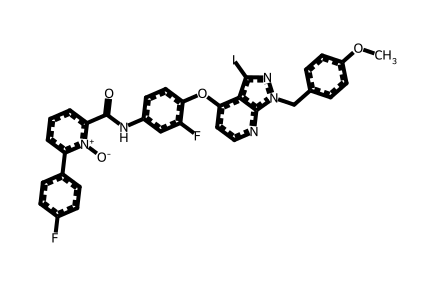 COc1ccc(Cn2nc(I)c3c(Oc4ccc(NC(=O)c5cccc(-c6ccc(F)cc6)[n+]5[O-])cc4F)ccnc32)cc1